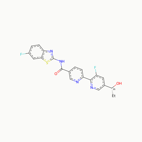 CC[C@@H](O)c1cnc(-c2ccc(C(=O)Nc3nc4ccc(F)cc4s3)cn2)c(F)c1